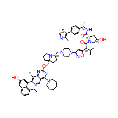 CCc1cccc2cc(O)cc(-c3ncc4c(N5CCCCCC5)nc(OC[C@]56CCCN5[C@@H](CN5CCN(c7cc([C@@H](C(=O)N8C[C@H](O)C[C@H]8C(=O)N[C@@H](C)c8ccc(-c9scnc9C)cc8)C(C)C)on7)CC5)CC6)nc4c3F)c12